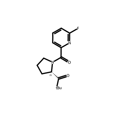 CC(C)(C)C(=O)[C@@H]1CCCN1C(=O)c1cccc(F)n1